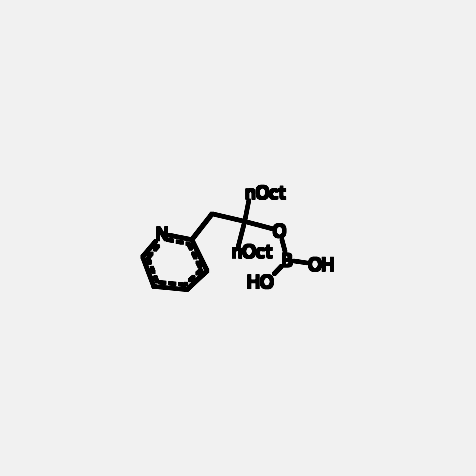 CCCCCCCCC(CCCCCCCC)(Cc1ccccn1)OB(O)O